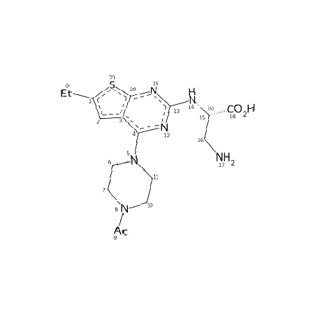 CCc1cc2c(N3CCN(C(C)=O)CC3)nc(N[C@@H](CN)C(=O)O)nc2s1